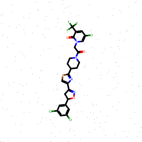 O=C(Cn1cc(Cl)cc(C(F)(F)F)c1=O)N1CCC(c2nc(C3=NOC(c4cc(Cl)cc(Cl)c4)C3)cs2)CC1